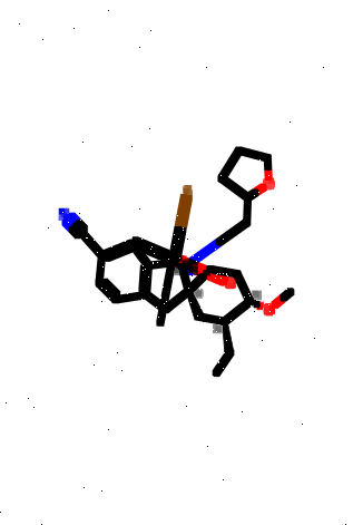 CC[C@H]1C[C@@]2(CC[C@@H]1OC)Cc1ccc(C#N)cc1[C@]21NC(=S)N(CC2CCCO2)C1=O